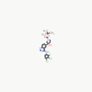 CC(C)(C)OC(=O)N1CCC(O)(c2ccc3ncnc(Nc4ccc(Cl)c(Cl)c4F)c3c2)C1